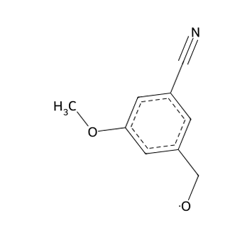 COc1cc(C#N)cc(C[O])c1